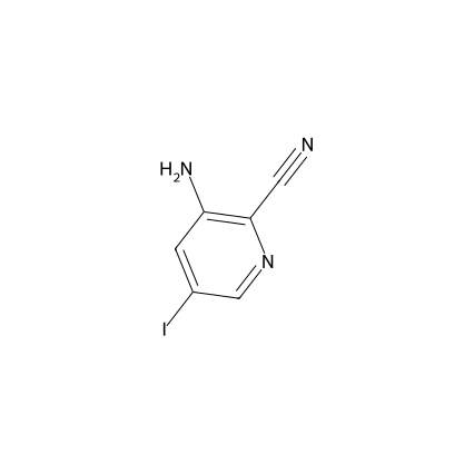 N#Cc1ncc(I)cc1N